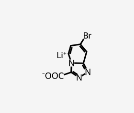 O=C([O-])c1nnc2cc(Br)ccn12.[Li+]